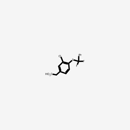 CC(C)C(F)(F)Sc1ccc(CC(=O)O)cc1Cl